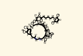 COc1cc2cc(c1Cl)N(C)C(=O)C[C@H](OC(=O)[C@H](C)N(C)C(=O)CCCCCN1C(=O)C=CC1=O)[C@]1(C)C[C@H]1[C@H](C)[C@@H]1C[C@@](O)(NC(=O)O1)[C@H](OC)/C=C/C=C(\C)C2